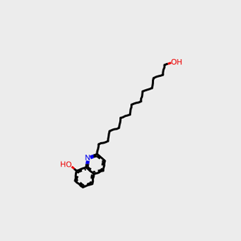 OCCCCCCCCCCCCCc1ccc2cccc(O)c2n1